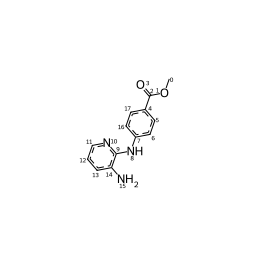 COC(=O)c1ccc(Nc2ncccc2N)cc1